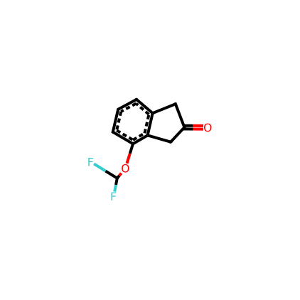 O=C1Cc2cccc(OC(F)F)c2C1